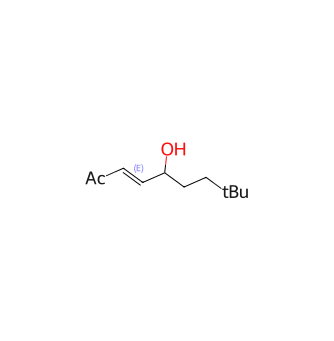 CC(=O)/C=C/C(O)CCC(C)(C)C